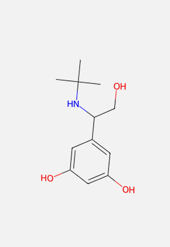 CC(C)(C)NC(CO)c1cc(O)cc(O)c1